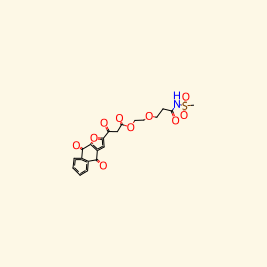 CS(=O)(=O)NC(=O)CCOCCOC(=O)CC(=O)c1cc2c(o1)C(=O)c1ccccc1C2=O